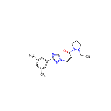 Cc1cc(-c2ncn(/C=C\C(=O)N3CCCN3CC#N)n2)cc(C(F)(F)F)c1